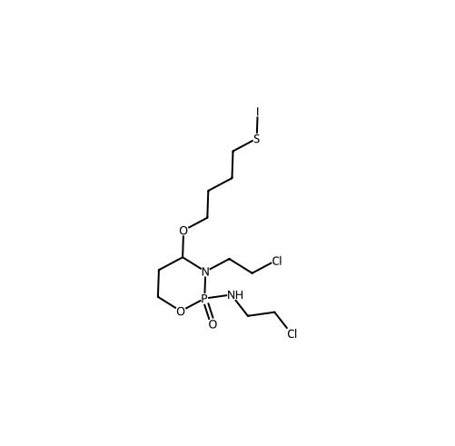 O=P1(NCCCl)OCCC(OCCCCSI)N1CCCl